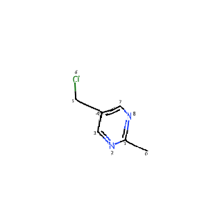 Cc1ncc(CCl)cn1